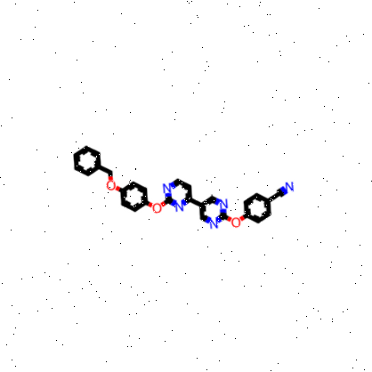 N#Cc1ccc(Oc2n[c]c(-c3ccnc(Oc4ccc(OCc5ccccc5)cc4)n3)cn2)cc1